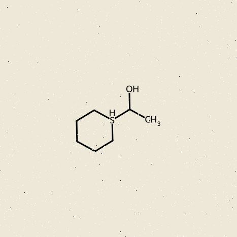 CC(O)[SH]1CCCCC1